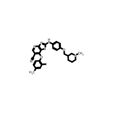 Cc1ccc(Oc2c(C#N)cnc3nc(Nc4ccc(OCC5CCCN(C)C5)cc4)sc23)c(I)c1